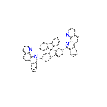 c1ccc2c(c1)-c1ccccc1C21c2cc(-c3nc4c(ccc5cccnc54)c4c3C3CCC4C3)ccc2-c2ccc(-c3nc4c(ccc5cccnc54)c4c3C3CCC4C3)cc21